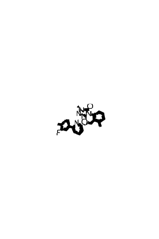 Cc1ccc(-c2cccc(OCc3c(C)cccc3-n3nnn(C)c3=O)n2)cc1F